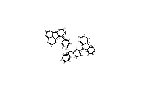 c1cc2c3c(cccc3c1)-c1c(-c3ccc(-n4c5ccccc5c5ccc(-n6c7ccccc7c7ccccc76)cc54)cc3)ncnc1-2